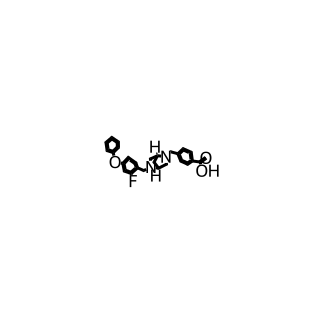 O=C(O)c1ccc(CN2C[C@@H]3C[C@H]2CN3Cc2ccc(Oc3ccccc3)cc2F)cc1